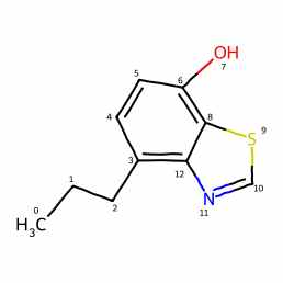 CCCc1ccc(O)c2scnc12